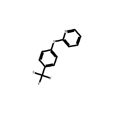 FC(F)(F)c1ccc(Sc2cc[c]cn2)cc1